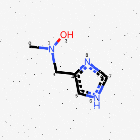 CN(O)Cc1c[nH]cn1